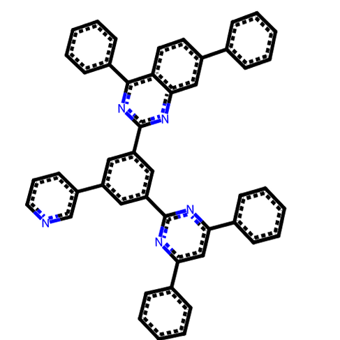 c1ccc(-c2ccc3c(-c4ccccc4)nc(-c4cc(-c5cccnc5)cc(-c5nc(-c6ccccc6)cc(-c6ccccc6)n5)c4)nc3c2)cc1